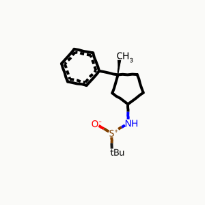 CC(C)(C)[S+]([O-])NC1CC[C@@](C)(c2ccccc2)C1